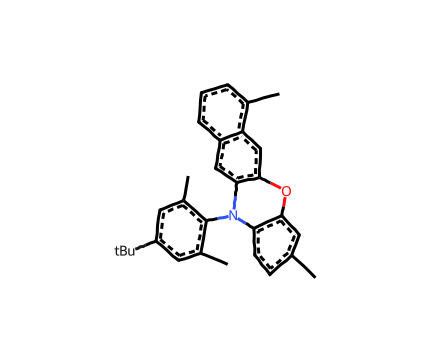 Cc1ccc2c(c1)Oc1cc3c(C)cccc3cc1N2c1c(C)cc(C(C)(C)C)cc1C